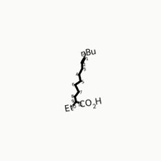 CCCCC=CCCCCCCC(CC)C(=O)O